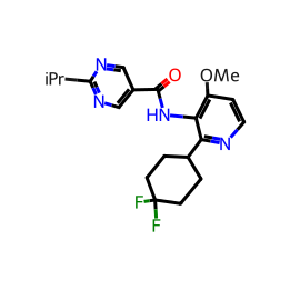 COc1ccnc(C2CCC(F)(F)CC2)c1NC(=O)c1cnc(C(C)C)nc1